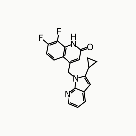 O=c1cc(Cn2c(C3CC3)cc3cccnc32)c2ccc(F)c(F)c2[nH]1